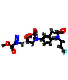 COC(=O)NC[C@H]1CN(c2ccc3c(c2)CC(=O)N3CCF)C(=O)O1